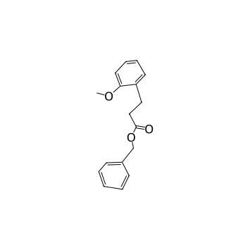 COc1ccccc1CCC(=O)OCc1ccccc1